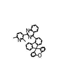 Cc1ccc(-c2nc(-c3cccc4c3-c3ccccc3C43c4ccccc4Oc4ccccc43)c3ccccc3n2)c(C)n1